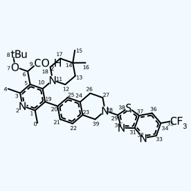 Cc1nc(C)c(C(OC(C)(C)C)C(=O)O)c(N2CCC(C)(C)CC2)c1-c1ccc2c(c1)CCN(c1nc3ncc(C(F)(F)F)cc3s1)C2